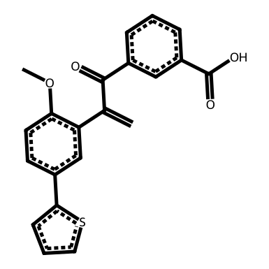 C=C(C(=O)c1cccc(C(=O)O)c1)c1cc(-c2cccs2)ccc1OC